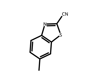 Cc1ccc2nc(C#N)sc2c1